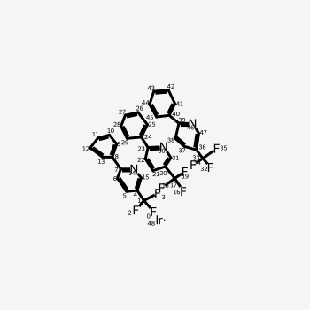 FC(F)(F)c1ccc(-c2ccccc2)nc1.FC(F)(F)c1ccc(-c2ccccc2)nc1.FC(F)(F)c1ccc(-c2ccccc2)nc1.[Ir]